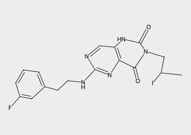 CC(I)Cn1c(=O)[nH]c2cnc(NCCc3cccc(F)c3)nc2c1=O